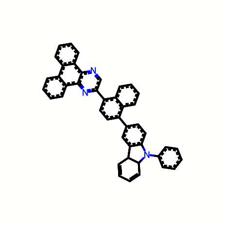 C1=CC2c3cc(-c4ccc(-c5cnc6c7ccccc7c7ccccc7c6n5)c5ccccc45)ccc3N(c3ccccc3)C2C=C1